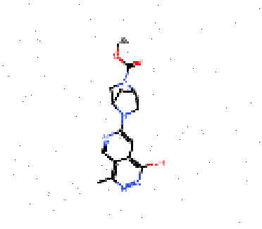 Cc1nnc(O)c2cc(N3CC4CC3CN4C(=O)OC(C)(C)C)ncc12